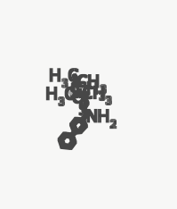 CC(C)C[Si](C)(C)OC(C)CSC(N)c1ccc(-c2ccccc2)cc1